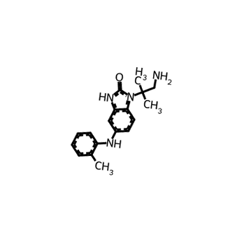 Cc1ccccc1Nc1ccc2c(c1)[nH]c(=O)n2C(C)(C)CN